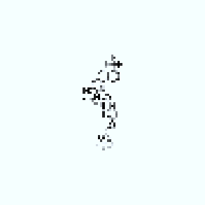 C=Cc1cc2c(nc1-c1cccc(C(F)(F)F)c1)N(C(=O)Nc1cc(OC[C@@H]3COC(C)(C)O3)ccn1)[C@H]1CCN2C1